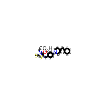 O=C(O)CN1C(=O)/C(=C\c2ccc(N3CCC(CC4CCCCC4)CC3)cc2)SC1=S